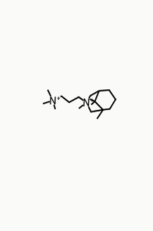 CC12CCCC(C[N+](C)(CCC[N+](C)(C)C)C1)C2(C)C